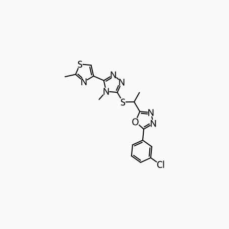 Cc1nc(-c2nnc(SC(C)c3nnc(-c4cccc(Cl)c4)o3)n2C)cs1